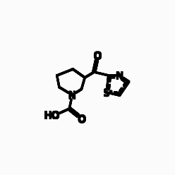 O=C(c1nccs1)C1CCCN(C(=O)O)C1